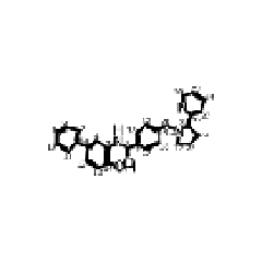 O=C(Nc1cc(-c2ccccc2)ccc1O)c1ccc(CN2CCCC2c2ccccn2)cc1